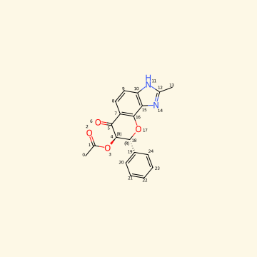 CC(=O)O[C@H]1C(=O)c2ccc3[nH]c(C)nc3c2O[C@@H]1c1ccccc1